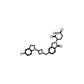 O=C1CCC(N2Cc3cc(CN4CC(N5CCc6cc(F)ccc65)C4)ccc3C2=O)C(=O)N1